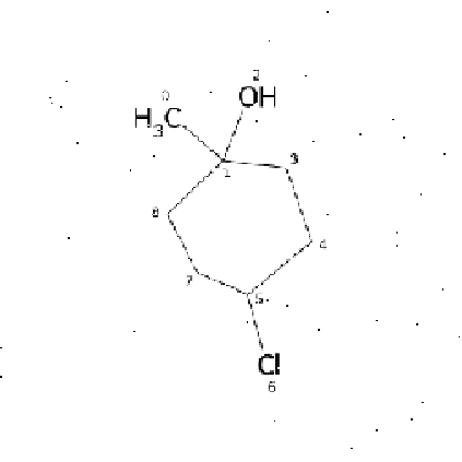 CC1(O)CCC(Cl)CC1